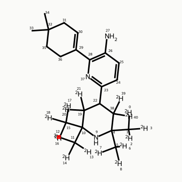 [2H]C([2H])([2H])C1(C([2H])([2H])[2H])NC(C([2H])([2H])[2H])(C([2H])([2H])[2H])C([2H])([2H])C(c2ccc(N)c(C3=CCC(C)(C)CC3)n2)C1([2H])[2H]